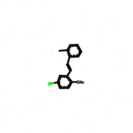 CC(=O)Oc1ccc(Cl)cc1/C=C/c1ccccc1C